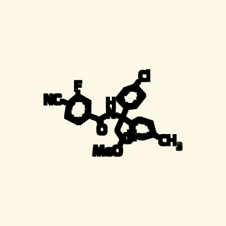 COC(=O)CC(NC(=O)c1ccc(C#N)c(F)c1)(c1ccc(Cl)cc1)c1ccc(C)cn1